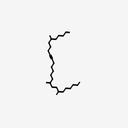 [CH2]CCCCCC(C)CCC(C)CCCCCC#CCCCC(C)CCCC[CH2]